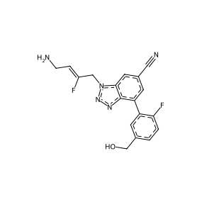 N#Cc1cc(-c2cc(CO)ccc2F)c2nnn(C/C(F)=C/CN)c2c1